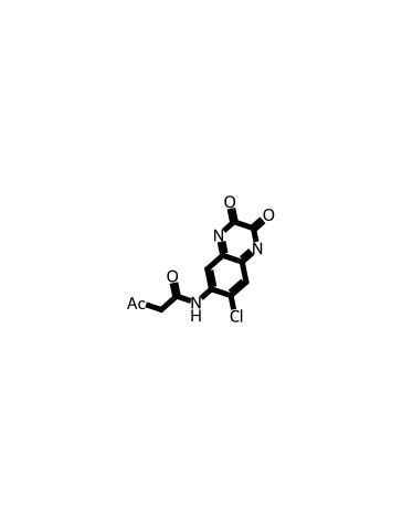 CC(=O)CC(=O)Nc1cc2c(cc1Cl)=NC(=O)C(=O)N=2